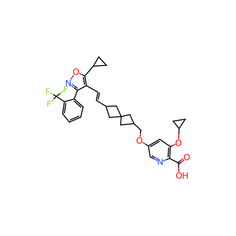 O=C(O)c1ncc(OCC2CC3(CC(/C=C/c4c(-c5ccccc5C(F)(F)F)noc4C4CC4)C3)C2)cc1OC1CC1